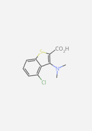 CN(C)c1c(C(=O)O)sc2cccc(Cl)c12